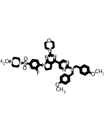 COc1ccc(CN(Cc2ccc(OC)cc2)c2ncc(-c3nc(N4CCOCC4)nc4c3CCN4c3ccc(S(=O)(=O)N4CCN(C)CC4)cc3F)cn2)cc1